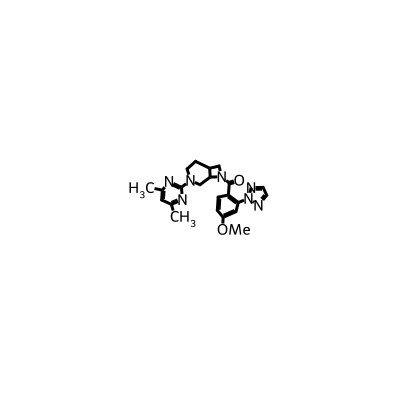 COc1ccc(C(=O)N2CC3CCN(c4nc(C)cc(C)n4)CC32)c(-n2nccn2)c1